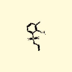 C=CCS(=O)(=O)c1cccc(C)c1N